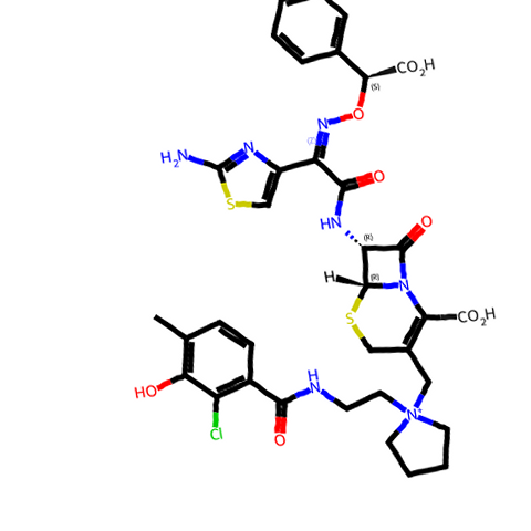 Cc1ccc(C(=O)NCC[N+]2(CC3=C(C(=O)O)N4C(=O)[C@@H](NC(=O)/C(=N\O[C@H](C(=O)O)c5ccccc5)c5csc(N)n5)[C@H]4SC3)CCCC2)c(Cl)c1O